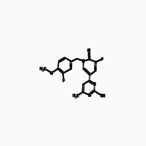 COc1ccc(Cn2cc(-c3cc(C)nc(S)n3)cc(F)c2=O)cc1F